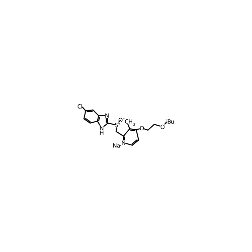 CCC(C)OCCOc1ccnc(C[S+]([O-])c2nc3cc(Cl)ccc3[nH]2)c1C.[Na]